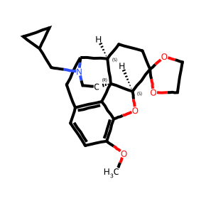 COc1ccc2c3c1O[C@@H]1C4(CC[C@@H]5C(C2)N(CC2CC2)CC[C@]351)OCCO4